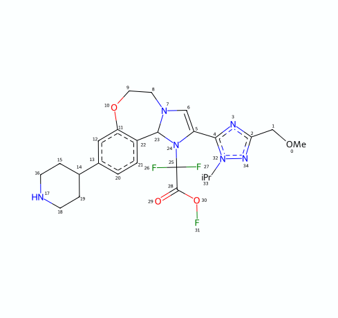 COCc1nc(C2=CN3CCOc4cc(C5CCNCC5)ccc4C3N2C(F)(F)C(=O)OF)n(C(C)C)n1